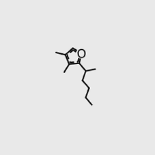 CCCCC(C)c1occ(C)c1C